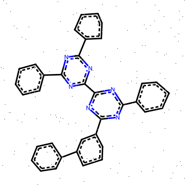 c1ccc(-c2cccc(-c3nc(-c4ccccc4)nc(-c4nc(-c5ccccc5)nc(-c5ccccc5)n4)n3)c2)cc1